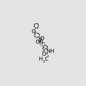 C=CC(=O)Nc1cc2c(s1)CN(S(=O)(=O)c1ccc(Oc3ccccc3)cc1)C2